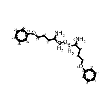 NC(CCCOc1ccccc1)[SiH2]O[SiH2]C(N)CCCOc1ccccc1